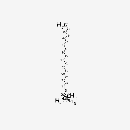 CCCCCCCCCCCCCCCCCCCC[CH][Ge]([CH3])([CH3])[CH3]